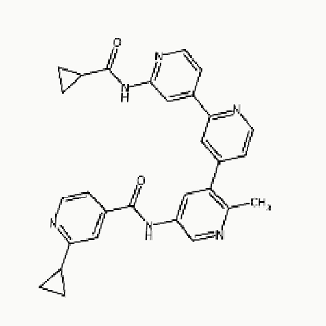 Cc1ncc(NC(=O)c2ccnc(C3CC3)c2)cc1-c1ccnc(-c2ccnc(NC(=O)C3CC3)c2)c1